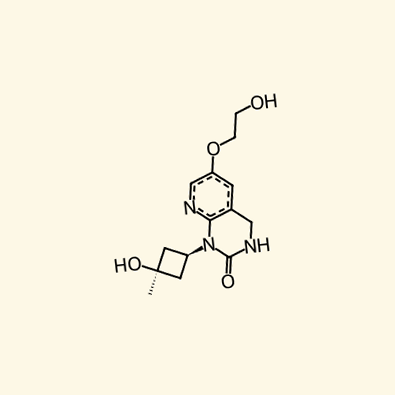 C[C@]1(O)C[C@@H](N2C(=O)NCc3cc(OCCO)cnc32)C1